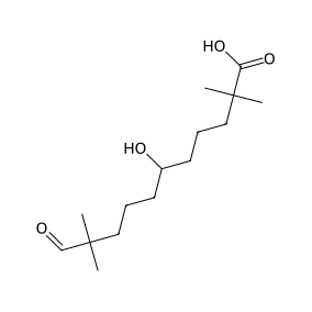 CC(C)(C=O)CCCC(O)CCCC(C)(C)C(=O)O